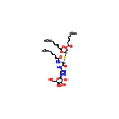 CCCCCCCCCCCCCCC(=O)N[C@H](CSC[C@@H](COC(=O)CCCCCCCCCCCCCC)OC(=O)CCCCCCCCCCCCCC)C(=O)Nc1cn(C2OC(CO)C(O)C(O)C2O)nn1